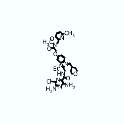 CCn1c(CNC(=O)c2nc(Cl)c(N)nc2N)[n+](CC2CCOCC2)c2ccc(OCC(=O)N(C)Cc3nc(C)ccc3[O-])cc21